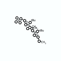 Cc1cccc(-c2ccc3oc4c(N(c5ccc(C(C)(C)C)cc5)c5ccc6c(c5)C(C)(C)c5cc(N(c7ccc(C(C)(C)C)cc7)c7cccc8c7oc7ccc(-c9cccc([Si](c%10ccccc%10)(c%10ccccc%10)c%10ccccc%10)c9)cc78)c7ccccc7c5-6)cccc4c3c2)c1